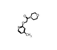 Cc1ccnc(OCC(=O)N2CCOCC2)c1